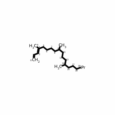 C=CC=C(C)CCCCC(C)CCCC(C)CCCC(C)C